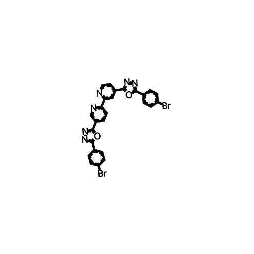 Brc1ccc(-c2nnc(-c3ccc(-c4cc(-c5nnc(-c6ccc(Br)cc6)o5)ccn4)nc3)o2)cc1